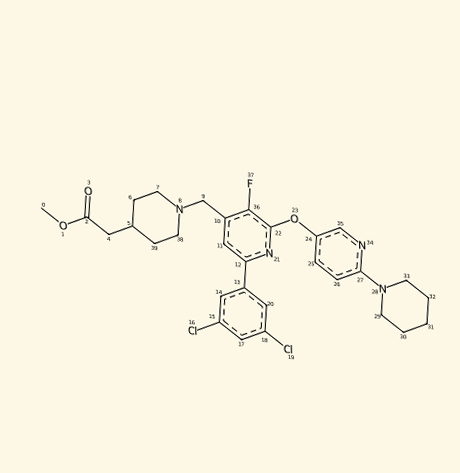 COC(=O)CC1CCN(Cc2cc(-c3cc(Cl)cc(Cl)c3)nc(Oc3ccc(N4CCCCC4)nc3)c2F)CC1